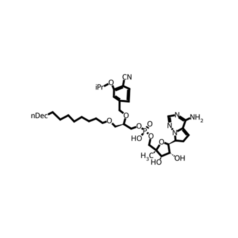 CCCCCCCCCCCCCCCCCCOC[C@H](COP(=O)(O)OC[C@@]1(C)O[C@@H](C2CC=C3C(N)=NC=NN32)[C@H](O)[C@@H]1O)OCc1ccc(C#N)c(OC(C)C)c1